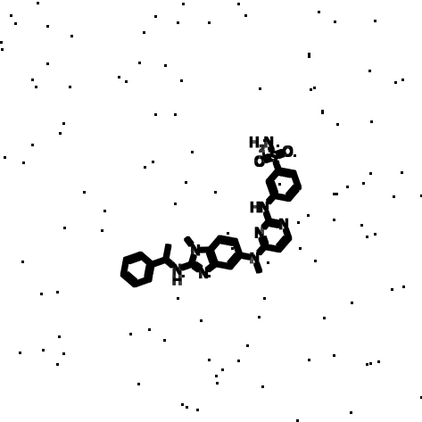 CC(Nc1nc2cc(N(C)c3ccnc(Nc4cccc(S(N)(=O)=O)c4)n3)ccc2n1C)c1ccccc1